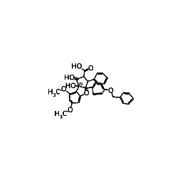 COc1cc(OC)c2c(c1)O[C@@]1(c3ccc(OCc4ccccc4)cc3)C(c3ccccc3)C(C(=O)O)[C@@H](O)[C@@]21O